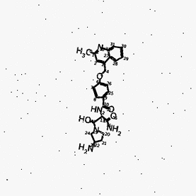 Cc1cc(COc2ccc(C(=O)N[C@H](C(N)=O)C(O)N3CCC(N)C3)cc2)c2ccccc2n1